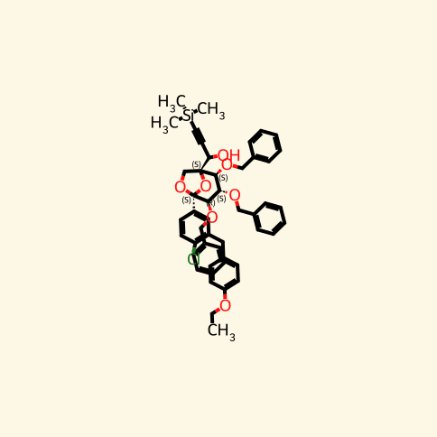 CCOc1ccc(Cc2cc([C@]34OC[C@@](C(O)C#C[Si](C)(C)C)(O3)[C@@H](OCc3ccccc3)[C@H](OCc3ccccc3)[C@H]4OCc3ccccc3)ccc2Cl)cc1